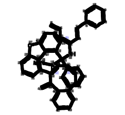 C=C/C=C(\C=Cc1ccccc1)NC(NNC)(c1ccccc1)c1cccc2oc3cccc(/C4=C/C=C\Cc5ccccc5C4=C)c3c12